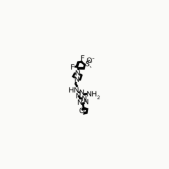 C[S@@+]([O-])C1C=C(N2CCN(CCNc3nc(N)n4nc(-c5ccco5)nc4n3)CC2)C(F)=CC1F